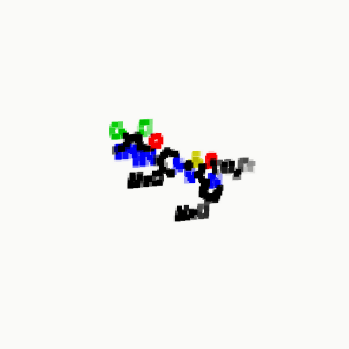 CCOC(=O)Oc1sc(N2CC[C@@H](NC(=O)c3[nH]c(C)c(Cl)c3Cl)[C@@H](OC)C2)nc1-c1cc(OC)ccn1